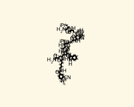 CC[C@H](C)[C@@H](CCC(=O)N[C@@H](CC(C)C)C(N)=O)NC(=O)[C@H](Cc1c[nH]cn1)NC(=O)CNC(=O)[C@@H](NC(=O)[C@H](C)NC(=O)[C@H](Cc1c[nH]c2ccccc12)NC(=O)[C@H](CCC(N)=O)NC(=O)CCCCNC(=O)c1ccc([N+](C)(C)C)c(C#N)c1)C(C)C